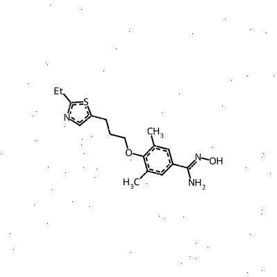 CCc1ncc(CCCOc2c(C)cc(C(N)=NO)cc2C)s1